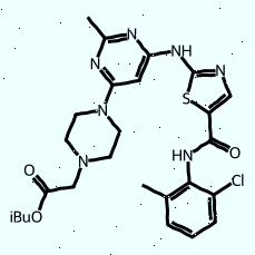 Cc1nc(Nc2ncc(C(=O)Nc3c(C)cccc3Cl)s2)cc(N2CCN(CC(=O)OCC(C)C)CC2)n1